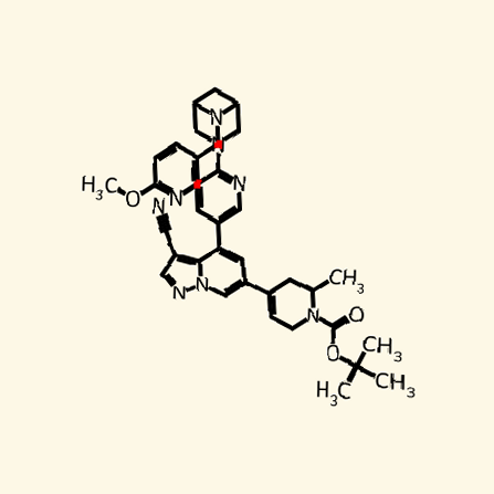 COc1ccc(CN2C3CC2CN(c2ccc(-c4cc(C5=CCN(C(=O)OC(C)(C)C)C(C)C5)cn5ncc(C#N)c45)cn2)C3)cn1